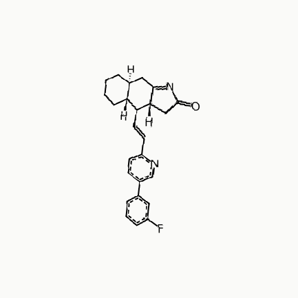 O=C1C[C@H]2C(=N1)C[C@@H]1CCCC[C@H]1[C@@H]2/C=C/c1ccc(-c2cccc(F)c2)cn1